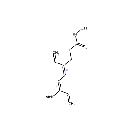 C=C/C(=C\C=C(/C=C)NC)CCC(=O)NO